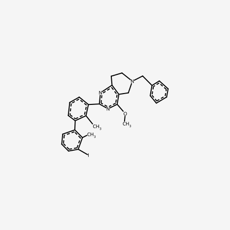 COc1nc(-c2cccc(-c3cccc(I)c3C)c2C)nc2c1CN(Cc1ccccc1)CC2